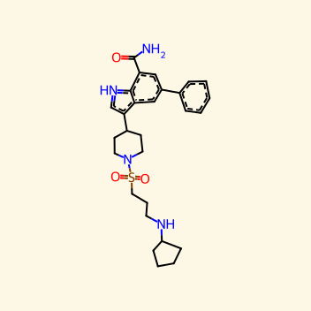 NC(=O)c1cc(-c2ccccc2)cc2c(C3CCN(S(=O)(=O)CCCNC4CCCC4)CC3)c[nH]c12